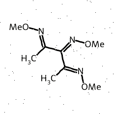 CON=C(/C(C)=N/OC)/C(C)=N/OC